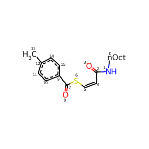 CCCCCCCCNC(=O)/C=C\SC(=O)c1ccc(C)cc1